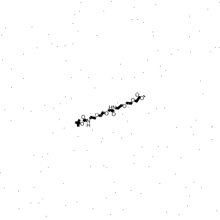 COC(=O)COCCOCCNC(=O)COCCOCCNC(=O)OC(C)(C)C